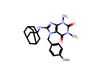 COc1ccc(Cn2c(NC34CC5CC(CC(C5)C3)C4)nc3c2c(=O)n(C)c(=O)n3C)cc1